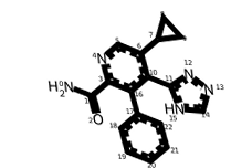 NC(=O)c1ncc(C2CC2)c(-c2nnc[nH]2)c1-c1ccccc1